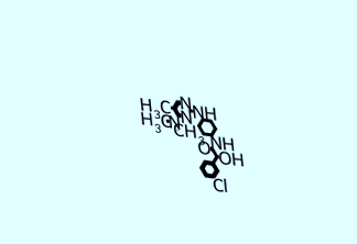 Cc1cnc(N[C@H]2CC[C@@H](NC(=O)C(O)c3cccc(Cl)c3)CC2)nc1N(C)C